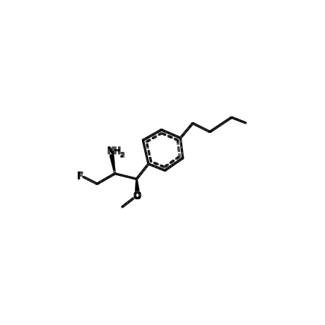 CCCCc1ccc([C@@H](OC)[C@H](N)CF)cc1